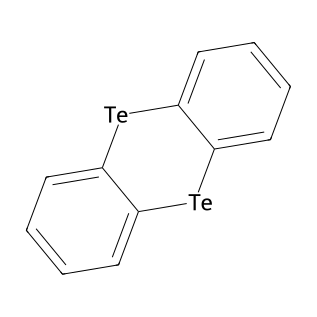 c1ccc2c(c1)[Te]c1ccccc1[Te]2